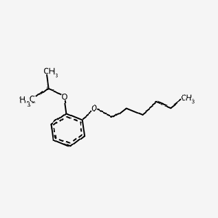 CCCCCCOc1ccccc1OC(C)C